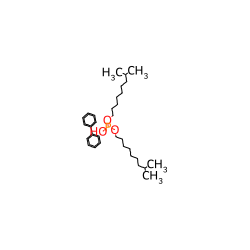 CC(C)CCCCCCCOP(O)OCCCCCCCC(C)C.c1ccc(-c2ccccc2)cc1